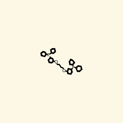 c1ccc(P(c2ccccc2)c2cccc(OCCCCOc3cccc(P(c4ccccc4)c4ccccc4)c3)c2)cc1